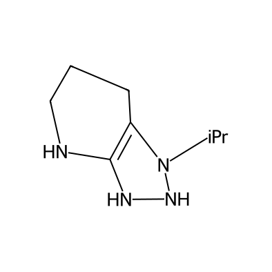 CC(C)N1NNC2=C1CCCN2